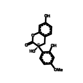 COc1ccc([C@]2(O)Cc3ccc(O)cc3OC2=O)c(O)c1